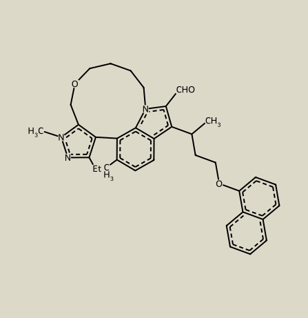 CCc1nn(C)c2c1-c1c(C)ccc3c(C(C)CCOc4cccc5ccccc45)c(C=O)n(c13)CCCCOC2